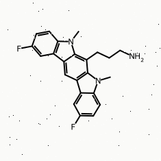 Cn1c2ccc(F)cc2c2cc3c4cc(F)ccc4n(C)c3c(CCCN)c21